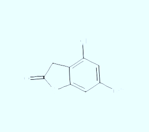 CCCc1cc(C)c2c(c1)OC(=O)C2